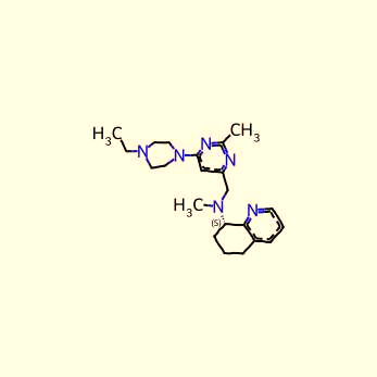 CCN1CCN(c2cc(CN(C)[C@H]3CCCc4cccnc43)nc(C)n2)CC1